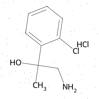 CC(O)(CN)c1ccccc1Cl.Cl